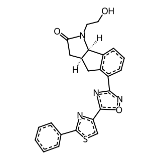 O=C1C[C@@H]2Cc3c(-c4noc(-c5csc(-c6ccccc6)n5)n4)cccc3[C@@H]2N1CCO